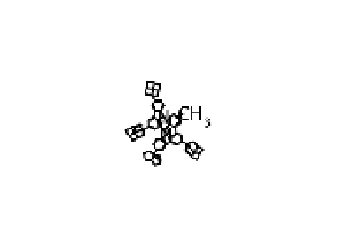 Cc1cc2c3c(c1)-n1c4ccc(C56CC7CC8CC(C5)C876)cc4c4cc(C56CC7CC8CC(C5)C87C6)cc(c41)B3n1c3ccc(C45CC6CC4CCC65)cc3c3cc(C45CC6CC7CC(C4)C76C5)cc-2c31